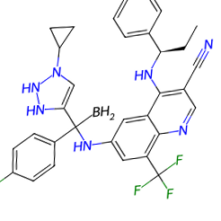 BC(Nc1cc(C(F)(F)F)c2ncc(C#N)c(N[C@H](CC)c3ccccc3)c2c1)(C1=CN(C2CC2)NN1)c1ccc(F)cc1